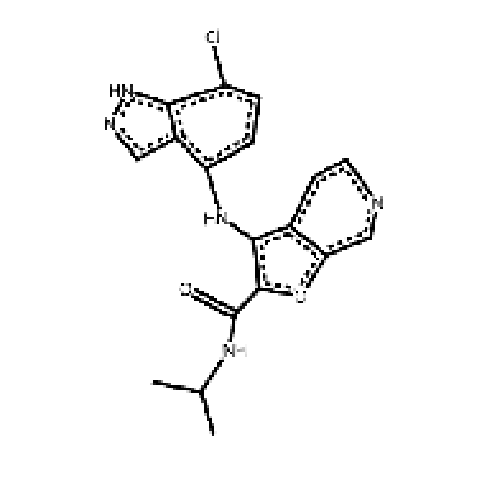 CC(C)NC(=O)c1oc2cnccc2c1Nc1ccc(Cl)c2[nH]ncc12